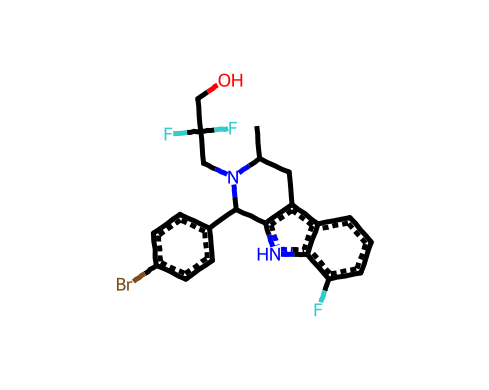 CC1Cc2c([nH]c3c(F)cccc23)C(c2ccc(Br)cc2)N1CC(F)(F)CO